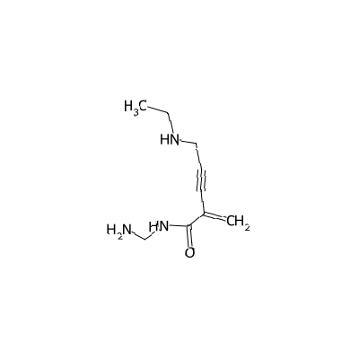 C=C(C#CCNCC)C(=O)NCN